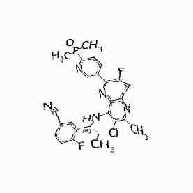 CC[C@@H](Nc1c(Cl)c(C)nc2cc(F)c(-c3ccc(P(C)(C)=O)nc3)nc12)c1cc(C#N)ccc1F